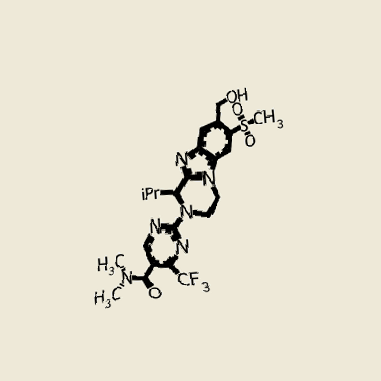 CC(C)C1c2nc3cc(CO)c(S(C)(=O)=O)cc3n2CCN1c1ncc(C(=O)N(C)C)c(C(F)(F)F)n1